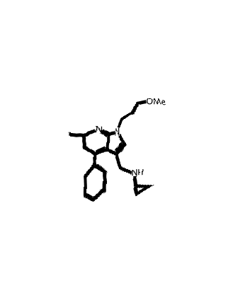 COCCCn1cc(CNC2CC2)c2c1=NC(C)CC=2C1CCCCC1